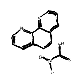 CCN(CC)C(=S)S.c1cnc2c(c1)ccc1cccnc12